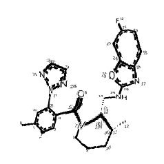 Cc1ccc(C(=O)N2CCC[C@@H](C)[C@H]2CNc2nc3ccc(F)cc3o2)c(-n2nccn2)c1